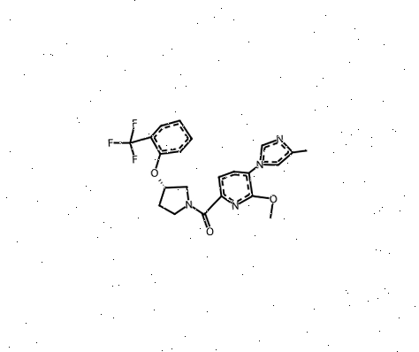 COc1nc(C(=O)N2CC[C@H](Oc3ccccc3C(F)(F)F)C2)ccc1-n1cnc(C)c1